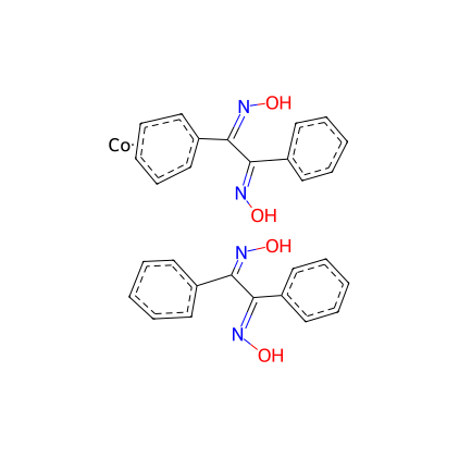 ON=C(C(=NO)c1ccccc1)c1ccccc1.ON=C(C(=NO)c1ccccc1)c1ccccc1.[Co]